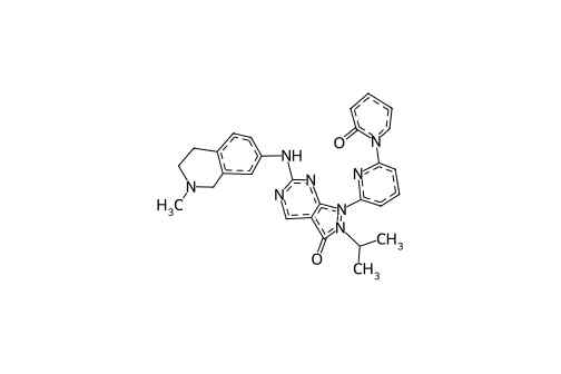 CC(C)n1c(=O)c2cnc(Nc3ccc4c(c3)CN(C)CC4)nc2n1-c1cccc(-n2ccccc2=O)n1